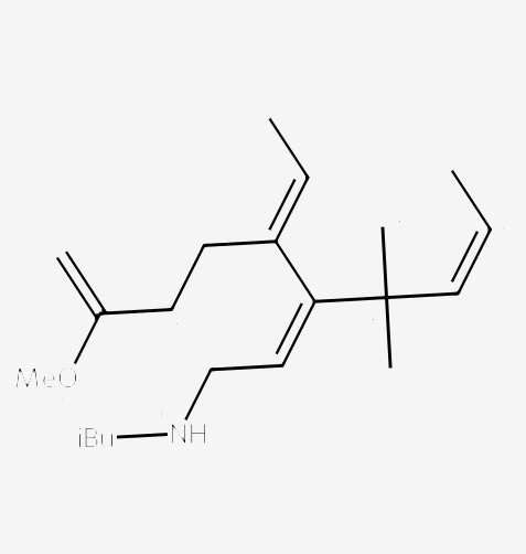 C=C(CCC(=C\C)/C(=C\CNC(C)CC)C(C)(C)/C=C\C)OC